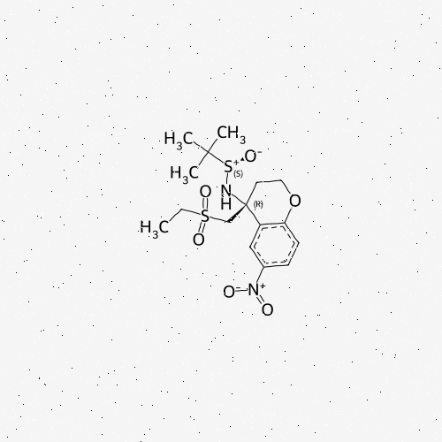 CCS(=O)(=O)C[C@@]1(N[S@+]([O-])C(C)(C)C)CCOc2ccc([N+](=O)[O-])cc21